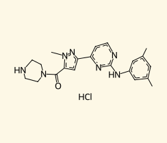 Cc1cc(C)cc(Nc2nccc(-c3cc(C(=O)N4CCNCC4)n(C)n3)n2)c1.Cl